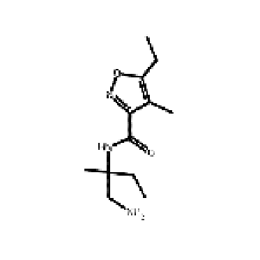 CCc1onc(C(=O)NC(C)(CC)CN)c1C